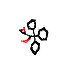 OC([C@@H]1CO1)C(c1ccccc1)(c1ccccc1)c1ccccc1